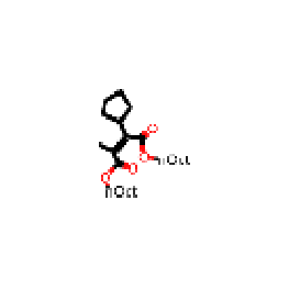 CCCCCCCCOC(=O)/C(C)=C(\C(=O)OCCCCCCCC)C1CCCC1